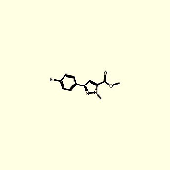 COC(=O)c1cc(-c2ccc(F)cc2)nn1C